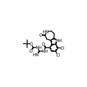 CC(C)(C)OC(=O)NC(=N)NC(=O)c1cc(Cl)c(Cl)c2[nH]c3c(c12)CC(=O)NCC3